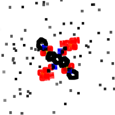 O=P(O)(O)OCON=C1c2cc(S(=O)(=O)N3CCCCCC3)ccc2/C(=N\OCOP(=O)(O)O)c2cc(S(=O)(=O)N3CCCCCC3)ccc21